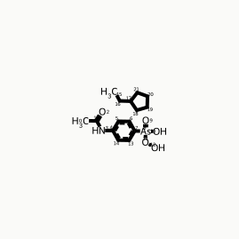 CC(=O)Nc1ccc([As](=O)(O)OO)cc1.CCC1CCCC1